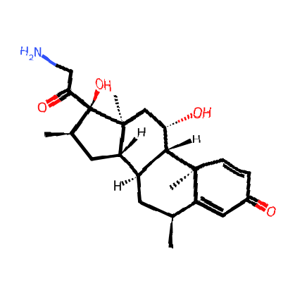 C[C@@H]1C[C@H]2[C@@H]3C[C@H](C)C4=CC(=O)C=C[C@]4(C)[C@H]3[C@@H](O)C[C@]2(C)[C@@]1(O)C(=O)CN